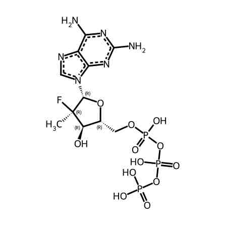 C[C@@]1(F)[C@H](O)[C@@H](COP(=O)(O)OP(=O)(O)OP(=O)(O)O)O[C@H]1n1cnc2c(N)nc(N)nc21